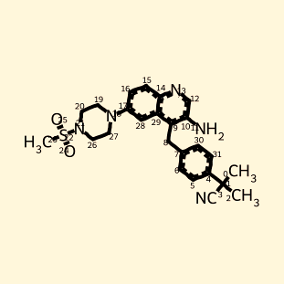 CC(C)(C#N)c1ccc(Cc2c(N)cnc3ccc(N4CCN(S(C)(=O)=O)CC4)cc23)cc1